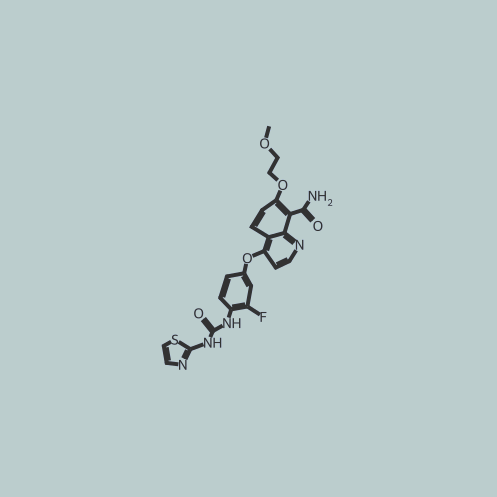 COCCOc1ccc2c(Oc3ccc(NC(=O)Nc4nccs4)c(F)c3)ccnc2c1C(N)=O